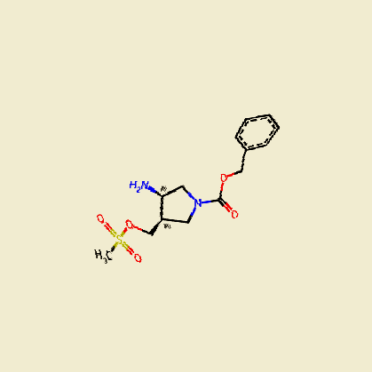 CS(=O)(=O)OC[C@@H]1CN(C(=O)OCc2ccccc2)C[C@@H]1N